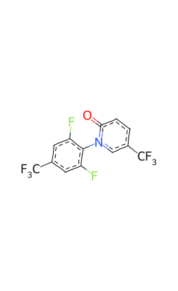 O=c1ccc(C(F)(F)F)cn1-c1c(F)cc(C(F)(F)F)cc1F